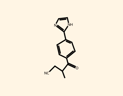 CC(CC#N)C(=O)c1ccc(-c2ncc[nH]2)cc1